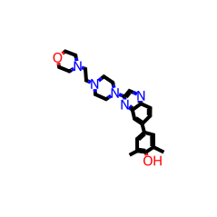 Cc1cc(-c2ccc3ncc(N4CCN(CCN5CCOCC5)CC4)nc3c2)cc(C)c1O